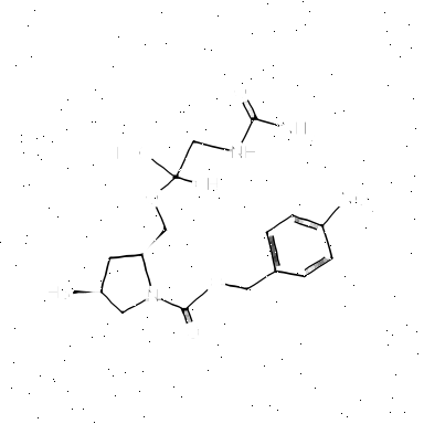 CC(C)(CNC(N)=O)OC[C@@H]1C[C@H](S)CN1C(=O)OCc1ccc([N+](=O)[O-])cc1